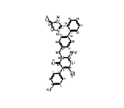 CCCc1nc(CC)c(-c2ccc(F)cc2)c(=O)n1Cc1ccc(-c2ccccc2-c2noc(=O)[nH]2)cc1